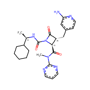 CN(C(=O)[C@@H]1[C@@H](Cc2ccnc(N)c2)C(=O)N1C(=O)N[C@@H](C1CCCCC1)C(F)(F)F)c1ncccn1